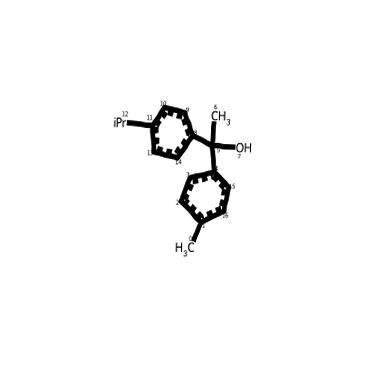 Cc1ccc(C(C)(O)c2ccc(C(C)C)cc2)cc1